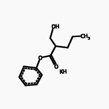 CCCC(CO)C(=O)Oc1ccccc1.[KH]